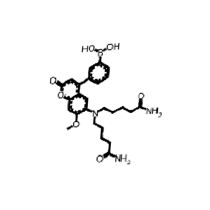 COc1cc2oc(=O)cc(-c3cccc(B(O)O)c3)c2cc1N(CCCCC(N)=O)CCCCC(N)=O